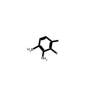 Bc1ccc(C)c(F)c1N